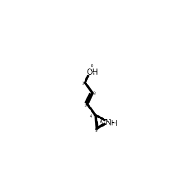 OCC=CC1CN1